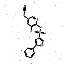 N#CCc1cnc(NS(=O)(=O)c2c[nH]c(-c3ccccc3)c2)c(F)c1